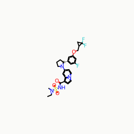 CCN(C)S(=O)(=O)NC(=O)c1ccn2ccc(N3CCC[C@@H]3c3cc(F)cc(OCC4CC4(F)F)c3)cc12